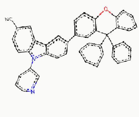 N#Cc1ccc2c(c1)c1cc(-c3ccc4c(c3)C(c3ccccc3)(c3ccccc3)c3ccccc3O4)ccc1n2-c1cccnc1